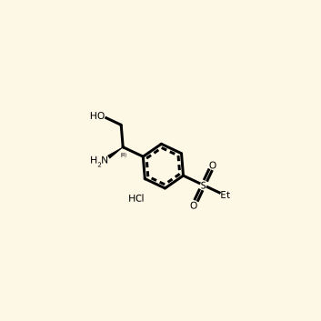 CCS(=O)(=O)c1ccc([C@@H](N)CO)cc1.Cl